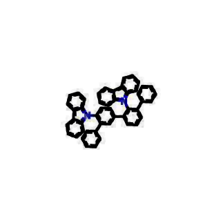 c1ccc(-c2cc(-c3cccc(-c4ccccc4)c3-n3c4ccccc4c4ccccc43)ccc2-n2c3ccccc3c3ccccc32)cc1